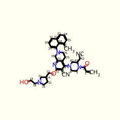 C=CC(=O)N1CCN(c2c(C#N)c(OCC3CCN(CCO)C3)nc3c2CCN(c2cccc4cccc(C)c24)C3)CC1CC#N